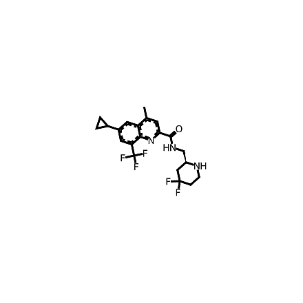 Cc1cc(C(=O)NC[C@@H]2CC(F)(F)CCN2)nc2c(C(F)(F)F)cc(C3CC3)cc12